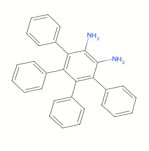 Nc1c(N)c(-c2ccccc2)c(-c2ccccc2)c(-c2ccccc2)c1-c1ccccc1